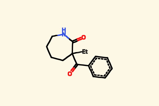 CCC1(C(=O)c2ccccc2)CCCCNC1=O